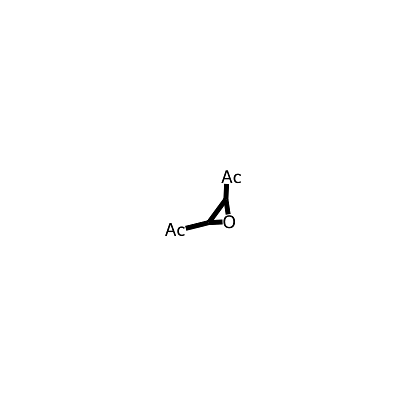 CC(=O)C1OC1C(C)=O